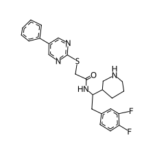 O=C(CSc1ncc(-c2ccccc2)cn1)NC(Cc1ccc(F)c(F)c1)C1CCCNC1